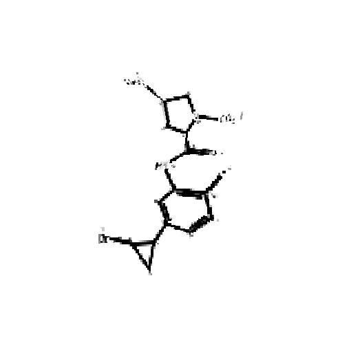 CO[C@@H]1C[C@H](C(=O)Nc2cc(C3CC3Br)ccc2F)N(C(=O)O)C1